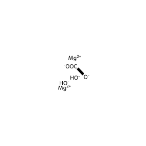 O=C([O-])[O-].[Mg+2].[Mg+2].[OH-].[OH-]